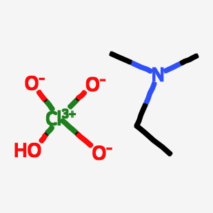 CCN(C)C.[O-][Cl+3]([O-])([O-])O